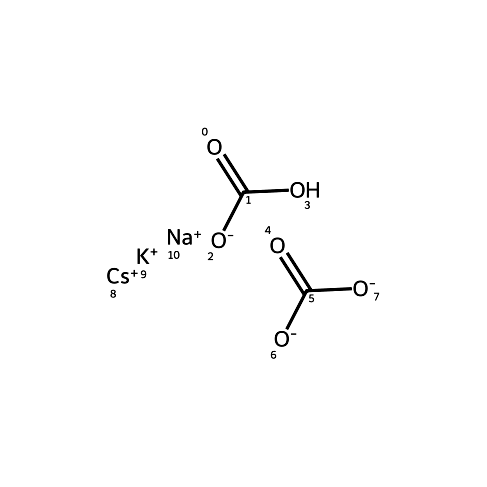 O=C([O-])O.O=C([O-])[O-].[Cs+].[K+].[Na+]